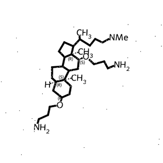 CNCCCC(C)C1CCC2C3CC[C@@H]4C[C@H](OCCCN)CC[C@]4(C)C3C[C@H](OCCCN)[C@]12C